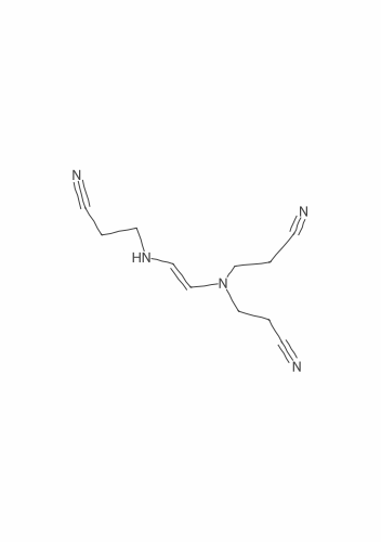 N#CCCN/C=C/N(CCC#N)CCC#N